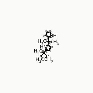 CCC(C)(CC)c1ccc(C(C)(C)c2ccc[nH]2)[nH]1